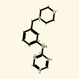 c1cc(CN2CCOCC2)cc(Nc2ncncn2)c1